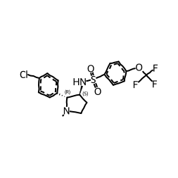 CN1CC[C@H](NS(=O)(=O)c2ccc(OC(F)(F)F)cc2)[C@H]1c1ccc(Cl)cc1